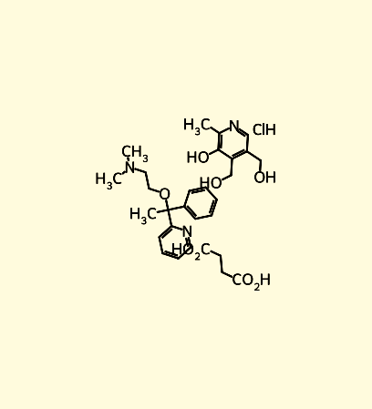 CN(C)CCOC(C)(c1ccccc1)c1ccccn1.Cc1ncc(CO)c(CO)c1O.Cl.O=C(O)CCC(=O)O